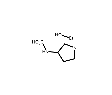 CCO.O=C(O)NC1CCNC1